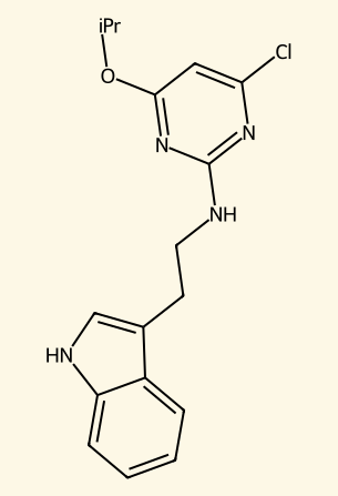 CC(C)Oc1cc(Cl)nc(NCCc2c[nH]c3ccccc23)n1